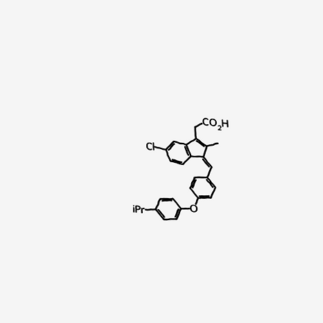 CC1=C(CC(=O)O)c2cc(Cl)ccc2/C1=C\c1ccc(Oc2ccc(C(C)C)cc2)cc1